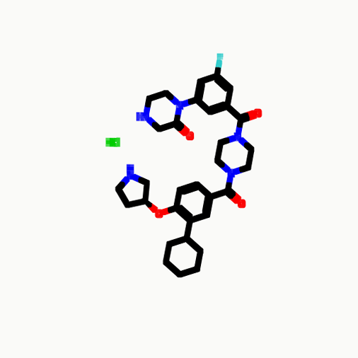 Cl.O=C(c1cc(F)cc(N2CCNCC2=O)c1)N1CCN(C(=O)c2ccc(O[C@H]3CCNC3)c(C3CCCCC3)c2)CC1